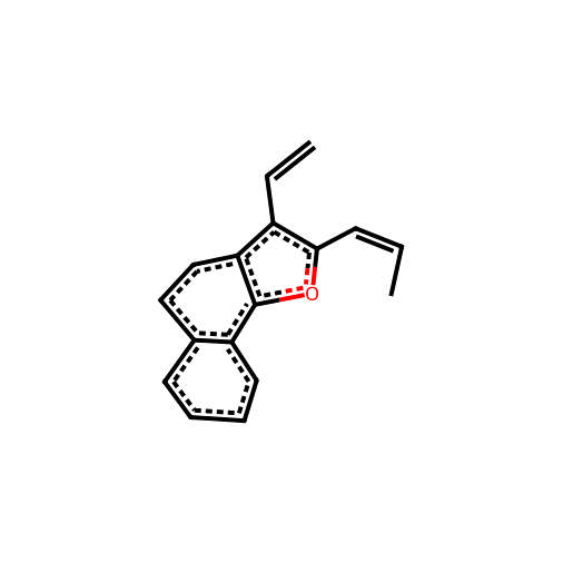 C=Cc1c(/C=C\C)oc2c1ccc1ccccc12